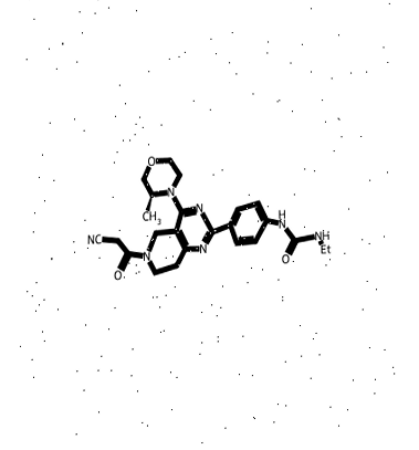 CCNC(=O)Nc1ccc(-c2nc3c(c(N4CCOC[C@@H]4C)n2)CN(C(=O)CC#N)CC3)cc1